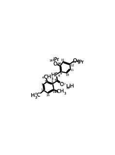 Cc1cc(C)c(C(=O)Pc2ccc(OC(C)C)cc2OC(C)C)c(C)c1.[LiH]